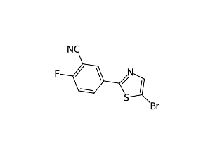 N#Cc1cc(-c2ncc(Br)s2)ccc1F